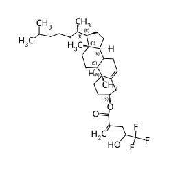 C=C(CC(O)C(F)(F)F)C(=O)O[C@H]1CC[C@@]2(C)C(=CCC3[C@@H]4CC[C@H]([C@H](C)CCCC(C)C)[C@@]4(C)CC[C@@H]32)C1